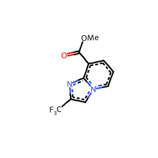 COC(=O)c1cccn2cc(C(F)(F)F)nc12